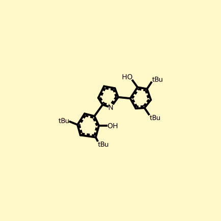 CC(C)(C)c1cc(-c2cccc(-c3cc(C(C)(C)C)cc(C(C)(C)C)c3O)n2)c(O)c(C(C)(C)C)c1